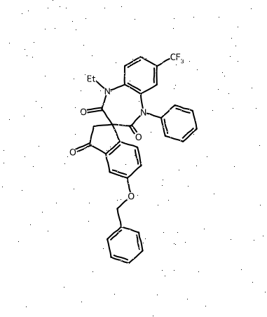 CCN1C(=O)C2(CC(=O)c3cc(OCc4ccccc4)ccc32)C(=O)N(c2ccccc2)c2cc(C(F)(F)F)ccc21